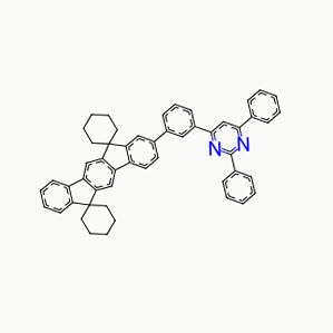 c1ccc(-c2cc(-c3cccc(-c4ccc5c(c4)C4(CCCCC4)c4cc6c(cc4-5)C4(CCCCC4)c4ccccc4-6)c3)nc(-c3ccccc3)n2)cc1